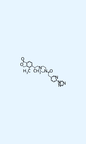 Cc1c(C(C)CN2CCN(C(=O)Cc3ccc(-n4cncn4)nc3)CC2)ccc2c1COC2=O